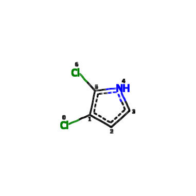 Clc1cc[nH]c1Cl